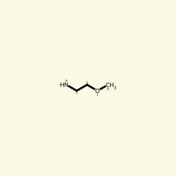 COCC[NH]